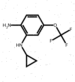 Nc1ccc(OC(F)(F)F)cc1NC1CC1